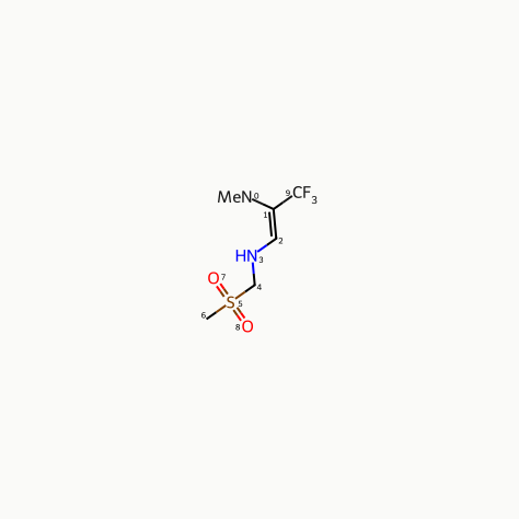 CN/C(=C\NCS(C)(=O)=O)C(F)(F)F